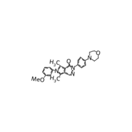 COc1cccc(-n2c(C)c3cnn(-c4ccc(N5CCOCC5)cc4)c(=O)c3c2C)c1